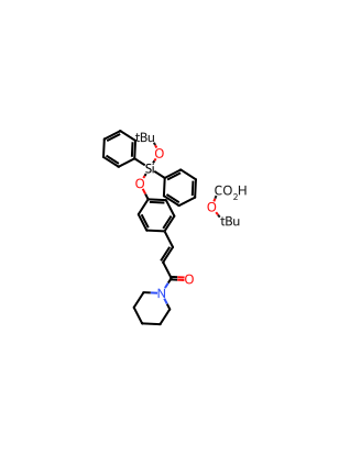 CC(C)(C)OC(=O)O.CC(C)(C)O[Si](Oc1ccc(C=CC(=O)N2CCCCC2)cc1)(c1ccccc1)c1ccccc1